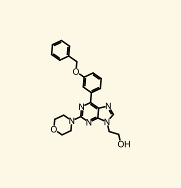 OCCn1cnc2c(-c3cccc(OCc4ccccc4)c3)nc(N3CCOCC3)nc21